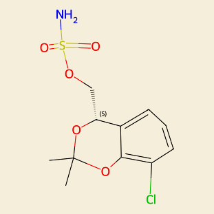 CC1(C)Oc2c(Cl)cccc2[C@@H](COS(N)(=O)=O)O1